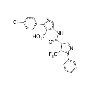 O=C(O)c1c(NC(=O)C2C=NN(c3ccccc3)C2C(F)(F)F)csc1-c1ccc(Cl)cc1